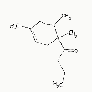 CCCC(=O)C1(C)CC=C(C)CC1C